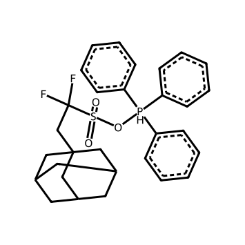 O=S(=O)(O[PH](c1ccccc1)(c1ccccc1)c1ccccc1)C(F)(F)CC12CC3CC(CC(C3)C1)C2